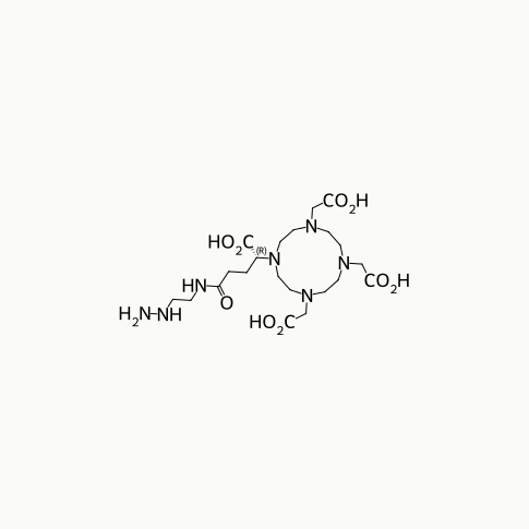 NNCCNC(=O)CC[C@H](C(=O)O)N1CCN(CC(=O)O)CCN(CC(=O)O)CCN(CC(=O)O)CC1